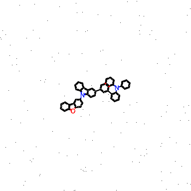 c1ccc(N(c2ccccc2)c2ccccc2-c2cccc(-c3ccc4c(c3)c3ccccc3n4-c3ccc4oc5ccccc5c4c3)c2)cc1